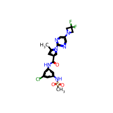 Cc1cc(C(=O)Nc2cc(Cl)cc(NS(C)(=O)=O)c2)cn1-c1ncc(N2CC(F)(F)C2)cn1